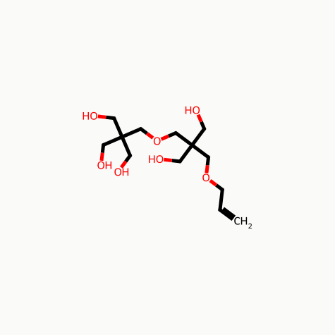 C=CCOCC(CO)(CO)COCC(CO)(CO)CO